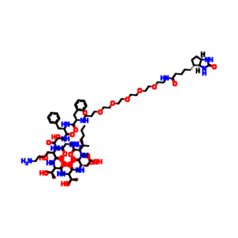 CCCCC[C@@H](NC(=O)[C@H](CC(=O)O)NC(=O)C(NC(=O)[C@@H](NC(=O)[C@@H](CCCCN)NC(=O)CNC(=O)[C@@H](Cc1ccccc1)NC(=O)[C@@H](Cc1ccccc1)NC(=O)CCOCCOCCOCCOCCOCCNC(=O)CCCC[C@@H]1CC[C@H]2NC(=O)N[C@@H]12)C(C)C)[C@@H](C)O)C(=O)N[C@@H](CO)C(=O)N[C@H](CO)C(=O)NC(C(=O)N[C@@H](C(=O)N[C@@H](CO)C(=O)N[C@@H](CN)C(C)C)C(C)C)[C@@H](C)O